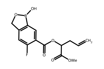 C=CCC(OC(=O)c1cc2c(cc1F)COB2O)C(=O)OC